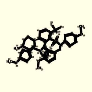 COc1ccc(CN(c2ccc(OC)cc2)S(=O)(=O)c2c(C(F)(F)F)ccc([C@H]3CC[C@H](N)CC3)c2-c2nnnn2Cc2ccc(OC)cc2)cc1